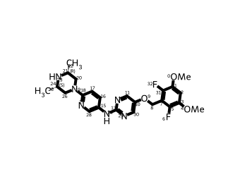 COc1cc(OC)c(F)c(COc2cnc(Nc3ccc(N4C[C@@H](C)N[C@@H](C)C4)nc3)nc2)c1F